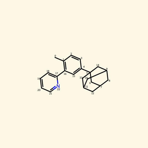 Cc1ccc(C23CC4CC(CC(C4)C2)C3)cc1-c1ccccn1